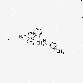 CC(N=Cc1cnn(C)c1)c1ccccc1O[Si](C)(C)C